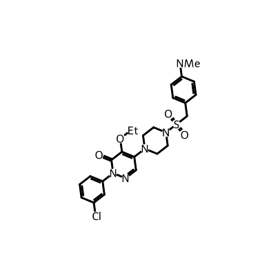 CCOc1c(N2CCN(S(=O)(=O)Cc3ccc(NC)cc3)CC2)cnn(-c2cccc(Cl)c2)c1=O